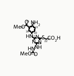 COC(=O)NNc1nc(Nc2ccc(N)c(C(=O)OC)c2)nc(SCC(=O)O)n1